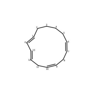 [C]1=C/CCCC/C=C\C/C=C\C/C=C/1